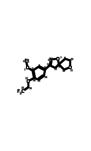 CCOc1cc(C2=NOC3(CCOC3)C2)ccc1OCC(F)(F)F